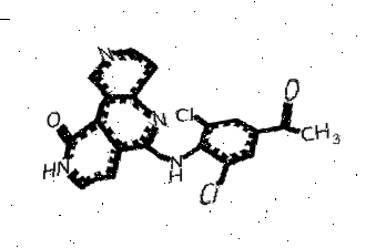 CC(=O)c1cc(Cl)c(Nc2nc3ccncc3c3c(=O)[nH]ccc23)c(Cl)c1